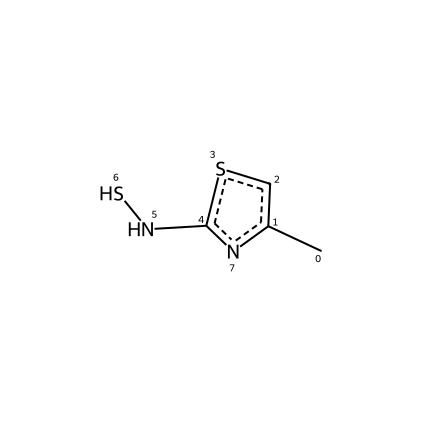 Cc1csc(NS)n1